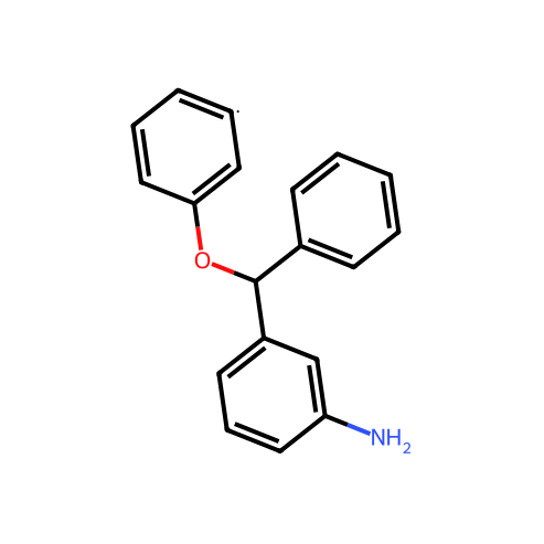 Nc1cccc(C(Oc2c[c]ccc2)c2ccccc2)c1